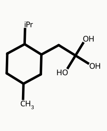 CC1CCC(C(C)C)C(CC(O)(O)O)C1